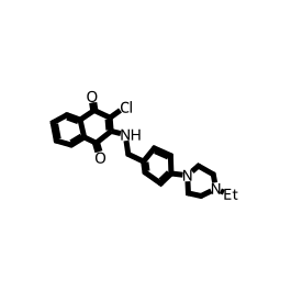 CCN1CCN(c2ccc(CNC3=C(Cl)C(=O)c4ccccc4C3=O)cc2)CC1